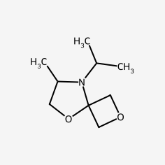 CC(C)N1C(C)COC12COC2